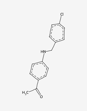 CC(=O)c1ccc(NCc2ccc(Cl)cc2)cc1